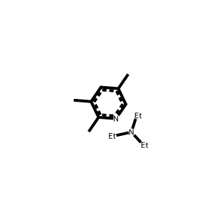 CCN(CC)CC.Cc1cnc(C)c(C)c1